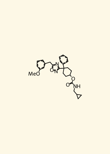 COc1cccc(Cc2nc(C3(c4ccccc4)CCC(OC(=O)NCC4CC4)CC3)no2)c1